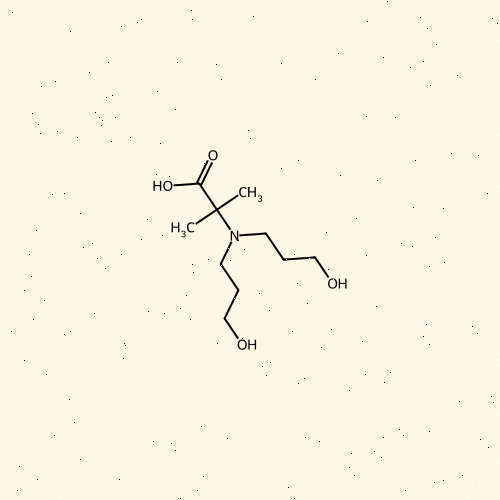 CC(C)(C(=O)O)N(CCCO)CCCO